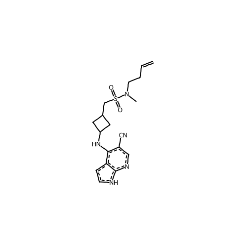 C=CCCN(C)S(=O)(=O)CC1CC(Nc2c(C#N)cnc3[nH]ccc23)C1